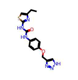 CCc1csc(NC(=O)Nc2ccc(OCc3c[nH]nn3)cc2)n1